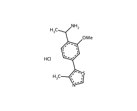 COc1cc(-c2scnc2C)ccc1C(C)N.Cl